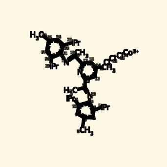 CC(=Nc1c(C(C)C)cc(C)cc1C(C)C)c1cc(C)cc(C(C)=Nc2c(C(C)C)cc(C)cc2C(C)C)n1.[Cl-].[Cl-].[Cl-].[Co+3]